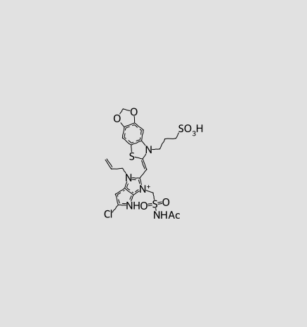 C=CCn1c(C=C2Sc3cc4c(cc3N2CCCS(=O)(=O)O)OCO4)[n+](CS(=O)(=O)NC(C)=O)c2[nH]c(Cl)cc21